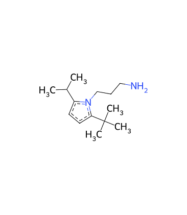 CC(C)c1ccc(C(C)(C)C)n1CCCN